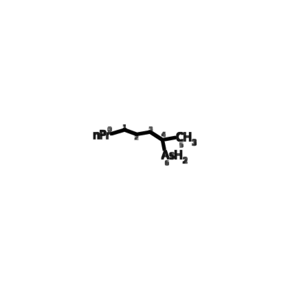 CCCCCCC(C)[AsH2]